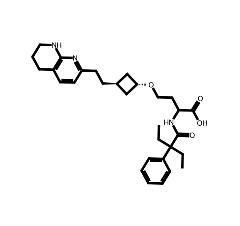 CCC(CC)(C(=O)NC(CCO[C@H]1C[C@H](CCc2ccc3c(n2)NCCC3)C1)C(=O)O)c1ccccc1